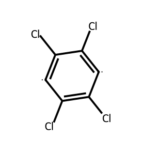 Clc1[c]c(Cl)c(Cl)[c]c1Cl